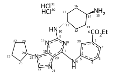 CCOC(=O)c1cccc(Nc2nc(N[C@H]3CC[C@H](N)CC3)nc3c2ncn3C2CCCC2)c1.Cl.Cl